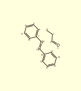 CCC=O.c1ccc(N=Nc2ccccc2)cc1